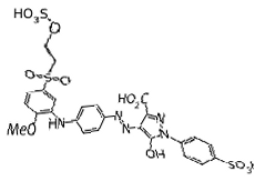 COc1ccc(S(=O)(=O)CCOS(=O)(=O)O)cc1Nc1ccc(/N=N/c2c(C(=O)O)nn(-c3ccc(S(=O)(=O)O)cc3)c2O)cc1